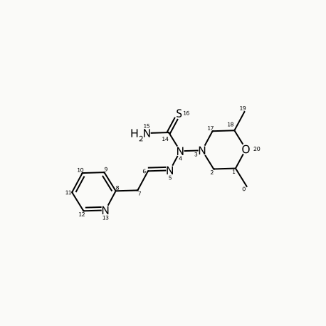 CC1CN(N(N=CCc2ccccn2)C(N)=S)CC(C)O1